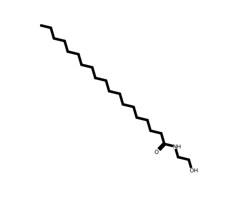 CCCCCCCCCCCCCCCCCCC(=O)NCCO